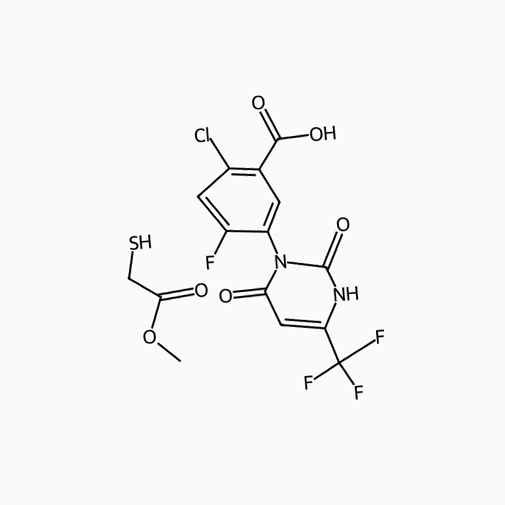 COC(=O)CS.O=C(O)c1cc(-n2c(=O)cc(C(F)(F)F)[nH]c2=O)c(F)cc1Cl